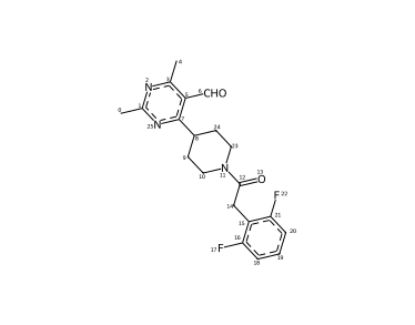 Cc1nc(C)c(C=O)c(C2CCN(C(=O)Cc3c(F)cccc3F)CC2)n1